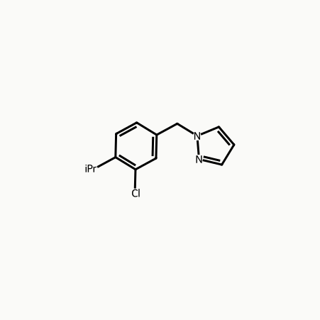 CC(C)c1ccc(Cn2cccn2)cc1Cl